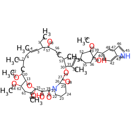 CCC1/C=C(\C)CC(C)CC(OC)C2OC(O)(C(=O)C(=O)N3CCCCC3C(=O)OC(C(C)=CC3CCC(O)(Cc4ccc5[nH]ccc5c4)C(OC)C3)C(C)CCC1=O)C(C)CC2OC